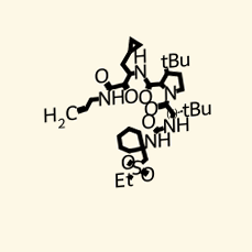 C=CCNC(=O)C(=O)C(CC1CC1)NC(=O)C1C(C(C)(C)C)CCN1C(=O)[C@@H](NC(=O)NC1(CS(=O)(=O)CC)CCCCC1)C(C)(C)C